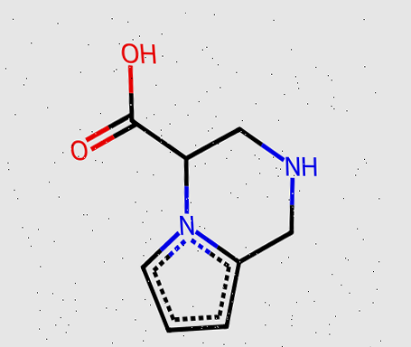 O=C(O)C1CNCc2cccn21